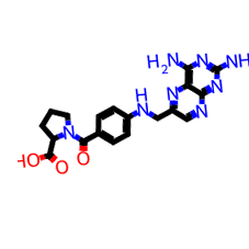 Nc1nc(N)c2nc(CNc3ccc(C(=O)N4CCCC4C(=O)O)cc3)cnc2n1